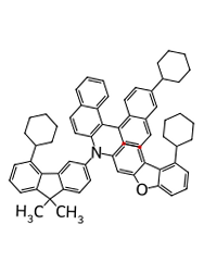 CC1(C)c2ccc(N(c3ccc4c(c3)oc3cccc(C5CCCCC5)c34)c3ccc4ccccc4c3-c3cccc4cc(C5CCCCC5)ccc34)cc2-c2c(C3CCCCC3)cccc21